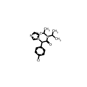 CC(C)N(C(=O)C(c1ccc(Cl)cc1)n1ccnc1)C(C)C